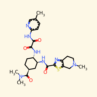 Cc1ccc(NC(=O)C(=O)N[C@H]2CC[C@H](C(=O)N(C)C)C[C@@H]2NC(=O)c2nc3c(s2)CN(C)CC3)nc1